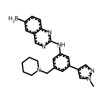 Bc1ccc2nc(Nc3cc(CN4CCCCC4)cc(-c4cnn(C)c4)c3)ncc2c1